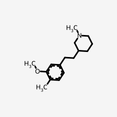 COc1cc(CCC2CCCN(C)C2)ccc1C